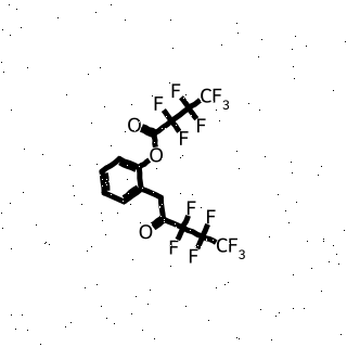 O=C(Cc1ccccc1OC(=O)C(F)(F)C(F)(F)C(F)(F)F)C(F)(F)C(F)(F)C(F)(F)F